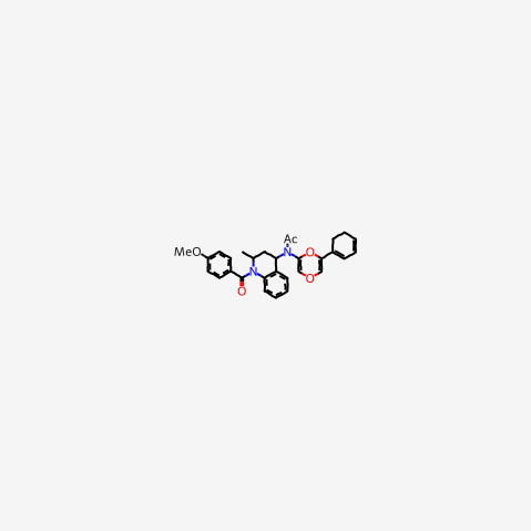 COc1ccc(C(=O)N2c3ccccc3C(N(C(C)=O)C3=COC=C(C4=CC=CCC4)O3)CC2C)cc1